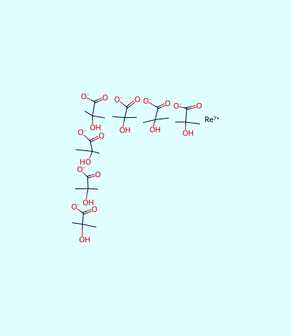 CC(C)(O)C(=O)[O-].CC(C)(O)C(=O)[O-].CC(C)(O)C(=O)[O-].CC(C)(O)C(=O)[O-].CC(C)(O)C(=O)[O-].CC(C)(O)C(=O)[O-].CC(C)(O)C(=O)[O-].[Re+7]